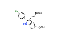 COc1ccc2[nH]c(-c3ccc(Cl)cc3)c(CCNC(C)=O)c2c1